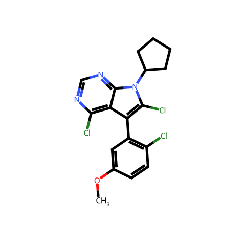 COc1ccc(Cl)c(-c2c(Cl)n(C3CCCC3)c3ncnc(Cl)c23)c1